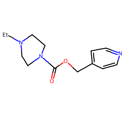 CCN1CCN(C(=O)OCc2ccncc2)CC1